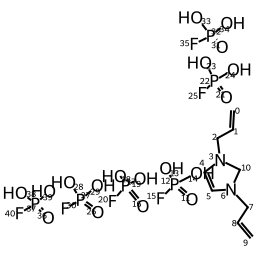 C=CCN1C=CN(CC=C)C1.O=P(O)(O)F.O=P(O)(O)F.O=P(O)(O)F.O=P(O)(O)F.O=P(O)(O)F.O=P(O)(O)F